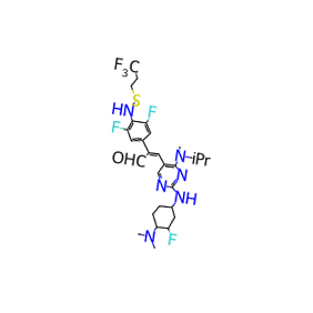 CC(C)N(C)c1nc(NC2CCC(N(C)C)C(F)C2)ncc1/C=C(\C=O)c1cc(F)c(NSCCC(F)(F)F)c(F)c1